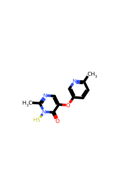 Cc1ccc(Oc2cnc(C)n(S)c2=O)cn1